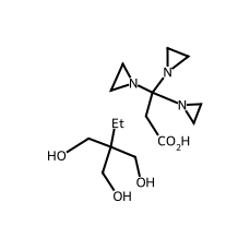 CCC(CO)(CO)CO.O=C(O)CC(N1CC1)(N1CC1)N1CC1